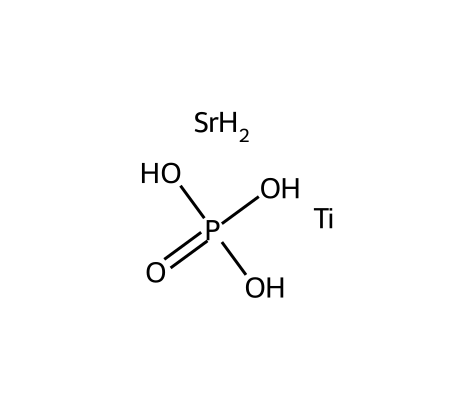 O=P(O)(O)O.[SrH2].[Ti]